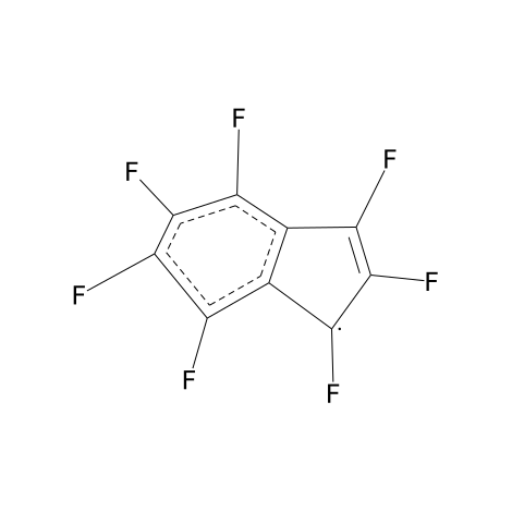 F[C]1C(F)=C(F)c2c(F)c(F)c(F)c(F)c21